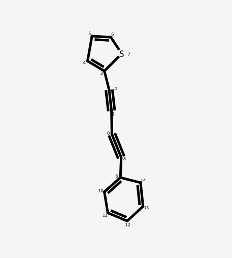 C(C#Cc1cccs1)#Cc1ccccc1